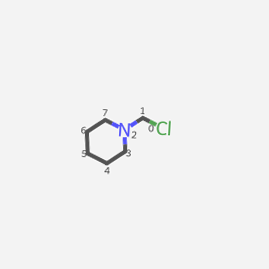 ClCN1CCCCC1